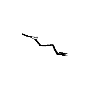 C[Se]CCC=O